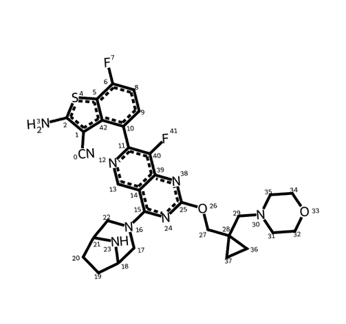 N#Cc1c(N)sc2c(F)ccc(-c3ncc4c(N5CC6CCC(C5)N6)nc(OCC5(CN6CCOCC6)CC5)nc4c3F)c12